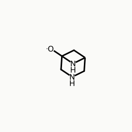 [O]C12CNCC(C1)N2